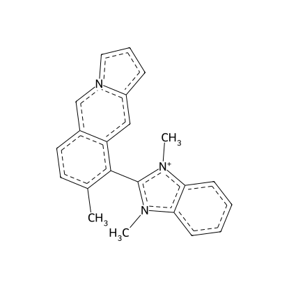 Cc1ccc2cn3cccc3cc2c1-c1n(C)c2ccccc2[n+]1C